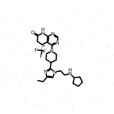 CCc1cn(CCNC2CCCC2)c(C2CCN(c3ncnc4c3[C@H](C(F)(F)F)CC(=O)N4)CC2)n1